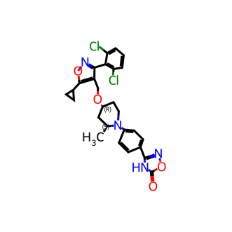 C[C@H]1C[C@H](OCc2c(-c3c(Cl)cccc3Cl)noc2C2CC2)CCN1c1ccc(-c2noc(=O)[nH]2)cc1